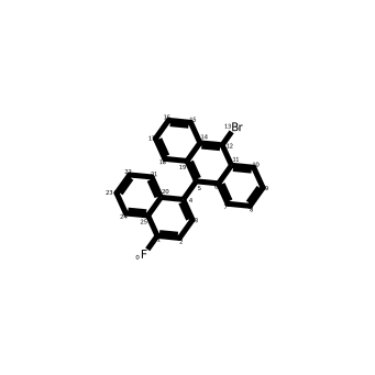 Fc1ccc(-c2c3ccccc3c(Br)c3ccccc23)c2ccccc12